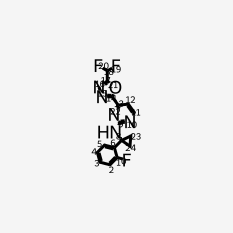 Fc1ccccc1C1(Nc2nccc(-c3nnc(C(F)F)o3)n2)CC1